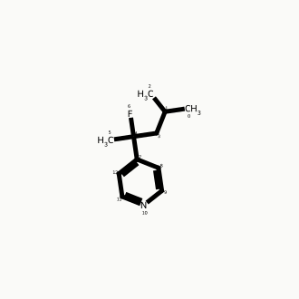 CC(C)CC(C)(F)c1ccncc1